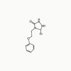 CCC1NNC(=O)N1CCOc1ccccc1